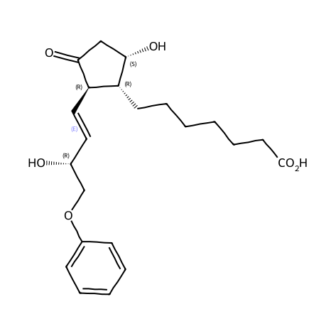 O=C(O)CCCCCC[C@H]1[C@@H](O)CC(=O)[C@@H]1/C=C/[C@@H](O)COc1ccccc1